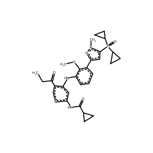 CCC(=O)c1cnc(NC(=O)C2CC2)cc1Nc1cccc(-c2cc(P(=O)(C3CC3)C3CC3)n(C)n2)c1OC